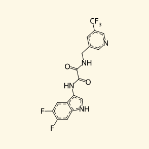 O=C(NCc1cncc(C(F)(F)F)c1)C(=O)Nc1c[nH]c2cc(F)c(F)cc12